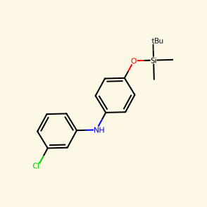 CC(C)(C)[Si](C)(C)Oc1ccc(Nc2cccc(Cl)c2)cc1